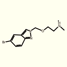 C[SiH](C)CCOCn1cc2cc(Br)ccc2n1